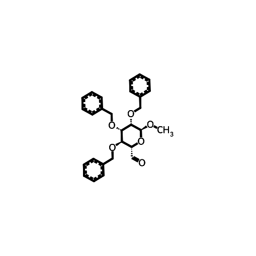 CO[C@H]1O[C@H](C=O)[C@@H](OCc2ccccc2)[C@H](OCc2ccccc2)[C@@H]1OCc1ccccc1